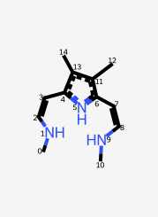 CN/C=C\c1[nH]c(/C=C\NC)c(C)c1C